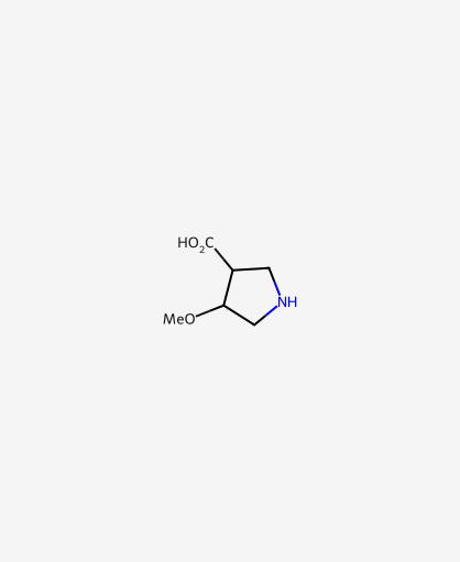 COC1CNCC1C(=O)O